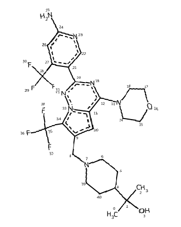 CC(C)(O)C1CCN(Cc2cc3c(N4CCOCC4)nc(-c4cnc(N)cc4C(F)(F)F)nn3c2C(F)(F)F)CC1